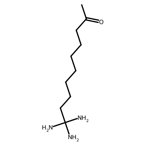 CC(=O)CCCCCCCC(N)(N)N